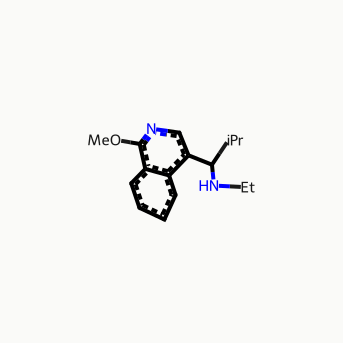 CCNC(c1cnc(OC)c2ccccc12)C(C)C